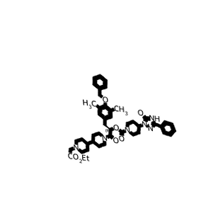 CCOC(=O)CN1CCC(C2CCN(C(=O)[C@@H](Cc3cc(C)c(OCc4ccccc4)c(C)c3)OC(=O)N3CCC(n4nc(-c5ccccc5)[nH]c4=O)CC3)CC2)CC1